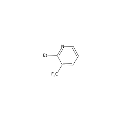 CCc1ncccc1C(F)(F)F